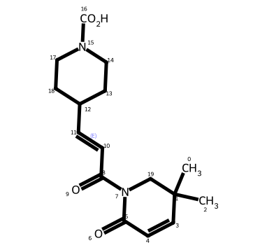 CC1(C)C=CC(=O)N(C(=O)/C=C/C2CCN(C(=O)O)CC2)C1